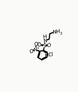 Cl.NCCNS(=O)(=O)c1ccccc1[N+](=O)[O-]